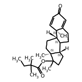 CCC(C)(C)C(=O)OC1(C)CC[C@H]2C3CCC4=CC(=O)C=C[C@]4(C)[C@H]3CC[C@@]21C